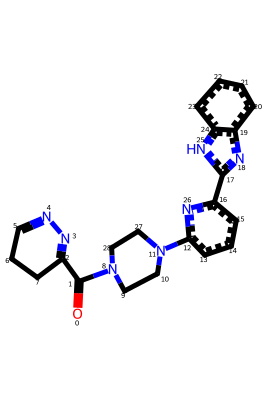 O=C(C1=NN=CCC1)N1CCN(c2cccc(-c3nc4ccccc4[nH]3)n2)CC1